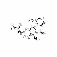 Cc1ccncc1-c1cc2cc(NC(=O)C3CC3)nnc2c(N)c1C#N